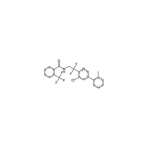 Cc1ccccc1-c1cnc(C(F)(F)CNC(=O)c2ccccc2C(F)(F)F)c(Cl)c1